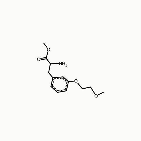 COCCOc1cccc(CC(N)C(=O)OC)c1